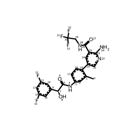 Cc1cc(NC(=O)[C@@H](O)c2cc(F)cc(F)c2)ccc1-c1cnc(N)c(C(=O)NCC(F)(F)F)c1